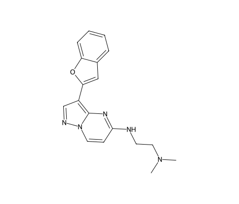 CN(C)CCNc1ccn2ncc(-c3cc4ccccc4o3)c2n1